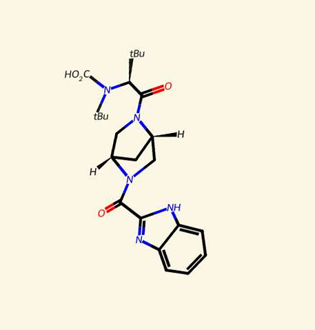 CC(C)(C)[C@@H](C(=O)N1C[C@@H]2C[C@H]1CN2C(=O)c1nc2ccccc2[nH]1)N(C(=O)O)C(C)(C)C